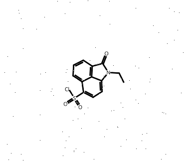 CCN1C(=O)c2cccc3c(S(=O)(=O)Cl)ccc1c23